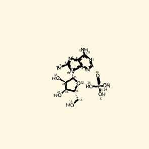 Nc1ncnc2c1nc(Br)n2[C@@H]1O[C@H](CO)[C@@H](O)[C@H]1O.O=P(O)(O)O